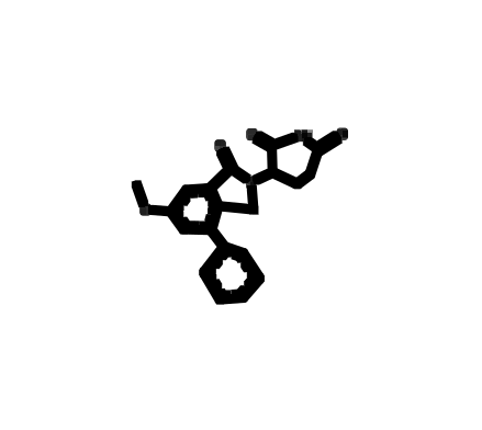 COc1cc2c(c(-c3ccccc3)c1)CN(C1CCC(=O)NC1=O)C2=O